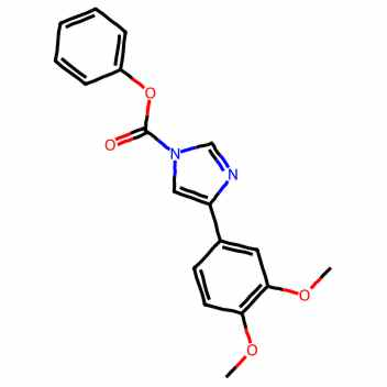 COc1ccc(-c2cn(C(=O)Oc3ccccc3)cn2)cc1OC